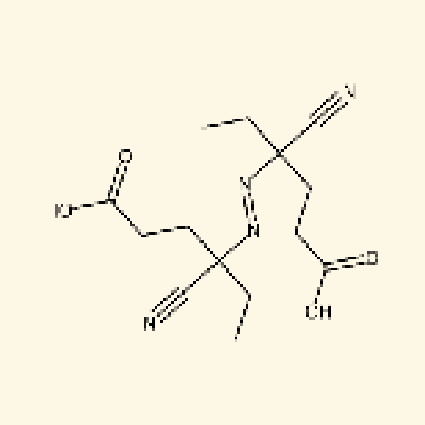 CCC(C#N)(CCC(=O)O)N=NC(C#N)(CC)CCC(=O)O